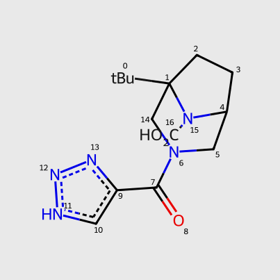 CC(C)(C)C12CCC(CN(C(=O)c3c[nH]nn3)C1)N2C(=O)O